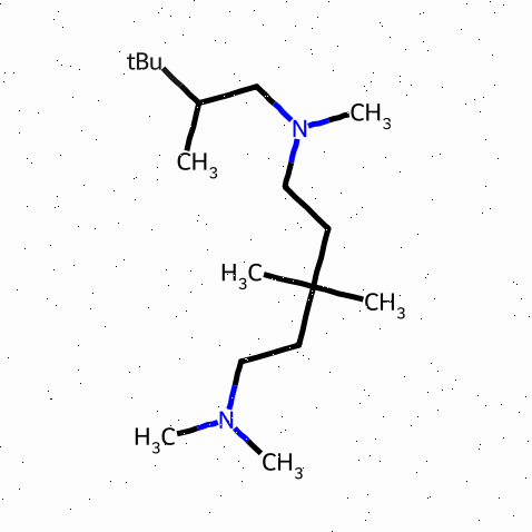 CC(CN(C)CCC(C)(C)CCN(C)C)C(C)(C)C